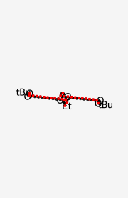 CCc1ccc2c(OCCCCCCCCCCCCCCCCC(=O)OC(C)(C)C)c3ccccc3c(OCCCCCCCCCCCCCCCCC(=O)OC(C)(C)C)c2c1